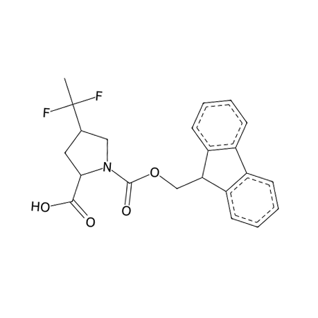 CC(F)(F)C1CC(C(=O)O)N(C(=O)OCC2c3ccccc3-c3ccccc32)C1